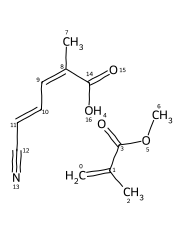 C=C(C)C(=O)OC.CC(=CC=CC#N)C(=O)O